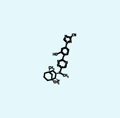 CN(c1cnc(-c2ccc(-n3cnc(C#N)n3)cc2O)nn1)[C@H]1C[C@]2(C)CCC[C@@](C)(C2)[C@H]1F